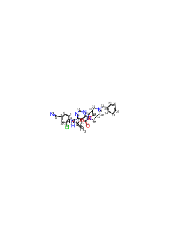 Cc1c(Nc2ccc(C#N)cc2Cl)ncnc1OC1C2CN(Cc3ccccc3)CC1CN(C(=O)OC1(C)CC1)C2